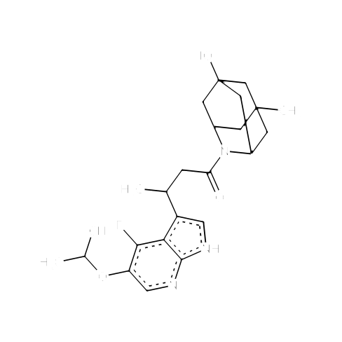 CC(C)Oc1cnc2[nH]cc(C(C)CC(=O)N3C4CC5(C)CC3CC(O)(C4)C5)c2c1F